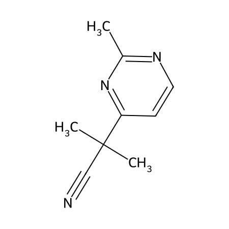 Cc1nccc(C(C)(C)C#N)n1